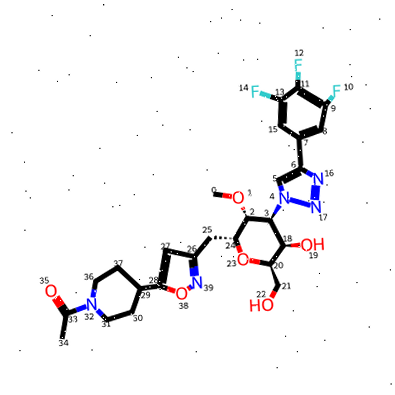 CO[C@@H]1[C@@H](n2cc(-c3cc(F)c(F)c(F)c3)nn2)[C@@H](O)[C@@H](CO)O[C@@H]1Cc1cc(C2CCN(C(C)=O)CC2)on1